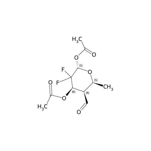 CC(=O)O[C@@H]1O[C@@H](C)[C@@H](C=O)[C@@H](OC(C)=O)C1(F)F